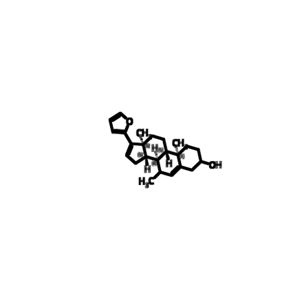 CC1C=C2CC(O)CC[C@]2(C)[C@H]2CC[C@]3(C)C(c4ccco4)=CC[C@H]3[C@H]12